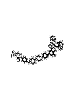 O=C1CCN(c2ccc(CN3CCC(N4CCN(c5ccc(-c6cc(F)c7c(c6)C(=O)N(C(C(=O)Nc6nccs6)c6ncn8c6CCC8)C7)cc5)CC4)CC3)cn2)C(=O)N1